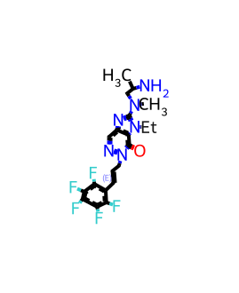 CCn1c(N(C)CC(C)N)nc2cnn(C/C=C/c3c(F)c(F)c(F)c(F)c3F)c(=O)c21